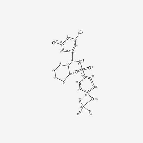 O=S(=O)(NC(c1cc(Cl)cc(Cl)c1)C1CCCCC1)c1ccc(OC(F)(F)F)cc1